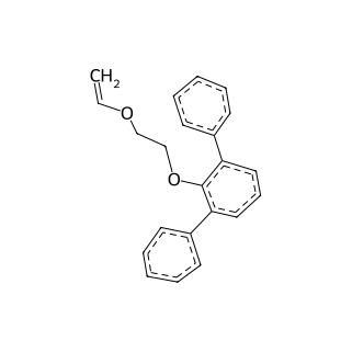 C=COCCOc1c(-c2ccccc2)cccc1-c1ccccc1